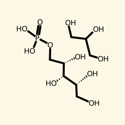 O=P(O)(O)OC[C@H](O)[C@@H](O)[C@H](O)CO.OCC(O)CO